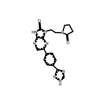 O=C1CCCN1CCn1c(=O)[nH]c2ncc(-c3ccc(-c4nc[nH]n4)cc3)nc21